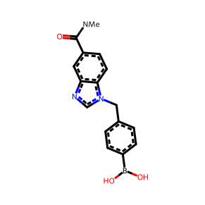 CNC(=O)c1ccc2c(c1)ncn2Cc1ccc(B(O)O)cc1